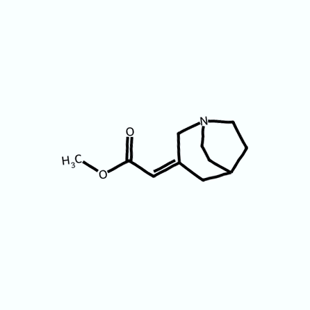 COC(=O)C=C1CC2CCN(CC2)C1